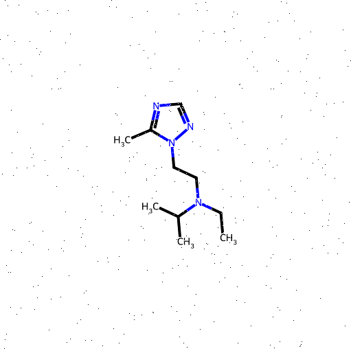 CCN(CCn1ncnc1C)C(C)C